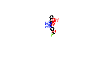 CC(C)(F)Oc1ccc(NC(=O)NC(Cc2ccccc2)C(=O)O)cc1